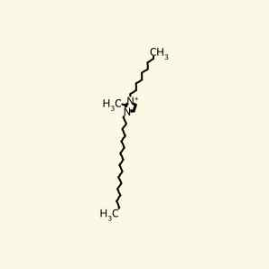 CCCCCCCCCCCCCCCCCn1cc[n+](CCCCCCCCC)c1C